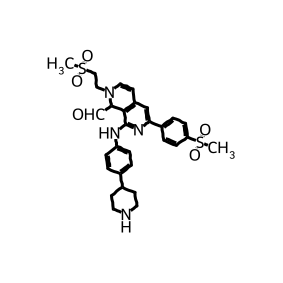 CS(=O)(=O)CCN1C=Cc2cc(-c3ccc(S(C)(=O)=O)cc3)nc(Nc3ccc(C4CCNCC4)cc3)c2C1C=O